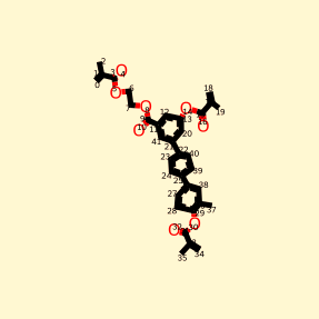 C=C(C)C(=O)OCCOC(=O)c1cc(OC(=O)C(=C)C)cc(-c2ccc(-c3ccc(OC(=O)C(=C)C)c(C)c3)cc2)c1